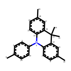 Cc1ccc(N2c3ccc(C)cc3C(C)(C)c3cc(C)ccc32)cc1